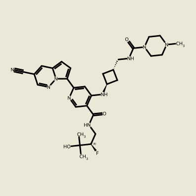 CN1CCN(C(=O)NC[C@H]2C[C@H](Nc3cc(-c4ccc5cc(C#N)cnn45)ncc3C(=O)NC[C@@H](F)C(C)(C)O)C2)CC1